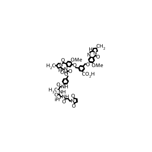 C=C1C[C@H]2C=Nc3cc(OCc4cc(COc5cc6c(cc5OC)C(=O)N5CC(=C)C[C@H]5[C@H](O)N6C(=O)OCc5ccc(NC(=O)[C@H](C)NC(=O)[C@@H](NC(=O)CCN6C(=O)C=CC6=O)C(C)C)cc5)cc(C(=O)O)c4)c(OC)cc3C(=O)N2C1